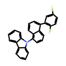 Fc1ccc(F)c(-c2cccc3c(-n4c5ccccc5c5ccccc54)cccc23)c1